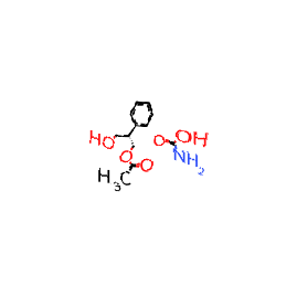 CC(=O)OC[C@H](CO)c1ccccc1.NC(=O)O